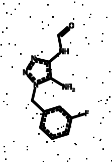 Nc1c(NC=O)nnn1Cc1cccc(F)c1